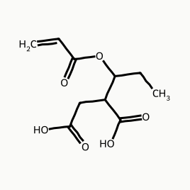 C=CC(=O)OC(CC)C(CC(=O)O)C(=O)O